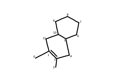 CC1=C(C)CC2CCCCC2C1